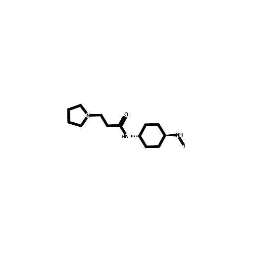 O=C(CCN1CCCC1)N[C@H]1CC[C@H](NI)CC1